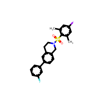 Cc1cc(I)cc(C)c1S(=O)(=O)N1CCc2cc(-c3cccc(F)c3)ccc2C1